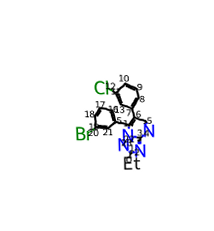 CCc1nc2ncc(-c3cccc(Cl)c3)c(-c3cccc(Br)c3)n2n1